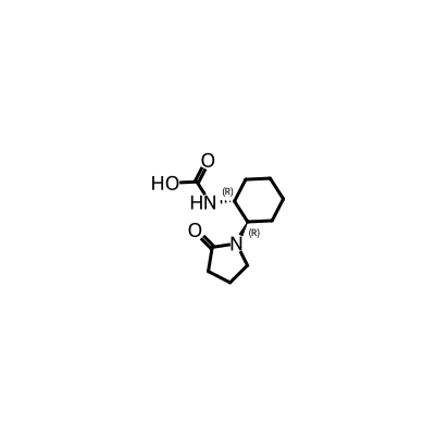 O=C(O)N[C@@H]1CCCC[C@H]1N1CCCC1=O